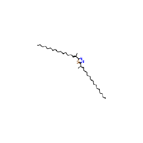 CCCCCCCCCCCCCCC=C(C)c1nnc(C(C)=CCCCCCCCCCCCCCC)s1